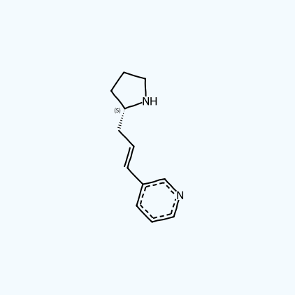 C(=Cc1cccnc1)C[C@@H]1CCCN1